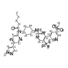 CCCCC(=O)N(c1cnc(-c2cnn(C)c2)cn1)C1CCC(Nc2ncc(C(F)(F)F)c(-c3cncc(S(C)(=O)=O)c3)n2)CC1